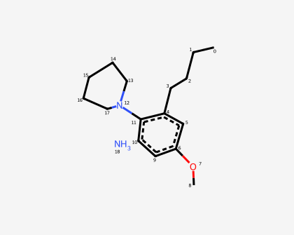 CCCCc1cc(OC)ccc1N1CCCCC1.N